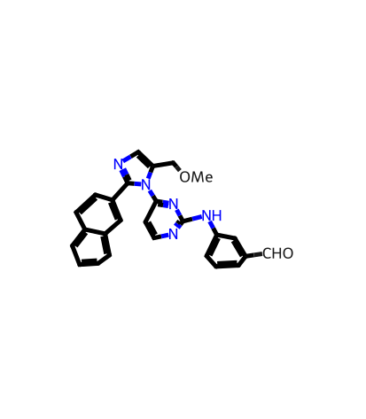 COCc1cnc(-c2ccc3ccccc3c2)n1-c1ccnc(Nc2cccc(C=O)c2)n1